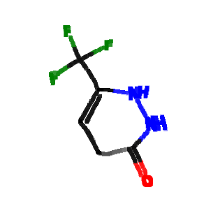 O=C1CC=C(C(F)(F)F)NN1